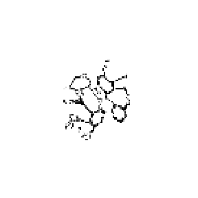 C[C@@H]1COC[C@@H]2N1C(=O)c1c(OP)c(=O)ccn1N2[C@@H]1c2ccccc2SCc2c1ccc(F)c2F